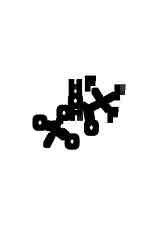 CS(=O)(=O)O.O=C(O)C(F)(F)F